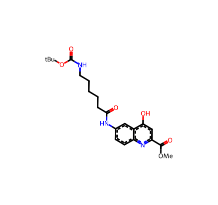 COC(=O)c1cc(O)c2cc(NC(=O)CCCCCNC(=O)OC(C)(C)C)ccc2n1